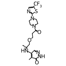 Cc1c(N[C@@H](C)COCCC(=O)N2CCN(c3ncc(C(F)(F)F)s3)CC2)cn[nH]c1=O